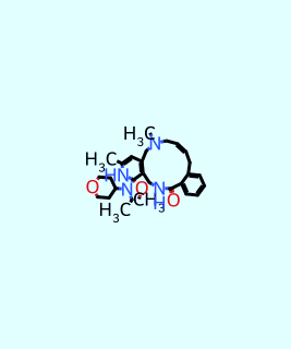 CCN(C1CCOCC1)C1(OC)NC(C)=CC2=C1CNC(=O)c1ccccc1CC=CCN(C)C2